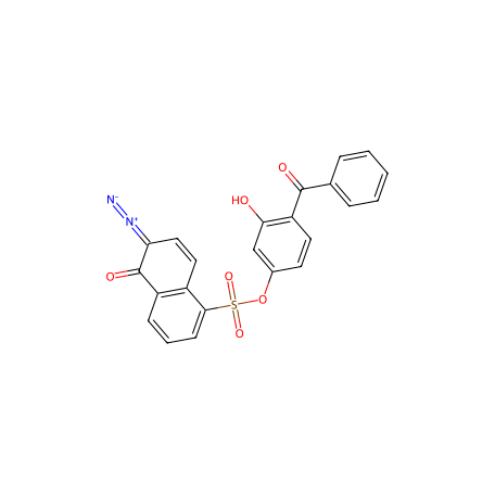 [N-]=[N+]=C1C=Cc2c(cccc2S(=O)(=O)Oc2ccc(C(=O)c3ccccc3)c(O)c2)C1=O